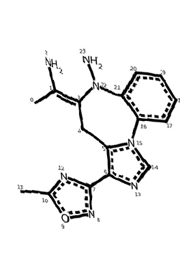 C/C(N)=C1\Cc2c(-c3noc(C)n3)ncn2-c2ccccc2N1N